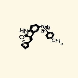 Cc1ccc(S(=O)(=O)Nc2ccc3c(c2)/C(=C/c2cccs2)C(=O)N3)cc1